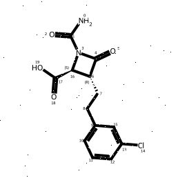 NC(=O)N1C(=O)[C@H](CCc2cccc(Cl)c2)[C@H]1C(=O)O